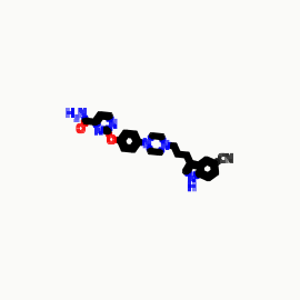 N#Cc1ccc2[nH]cc(CCCN3CCN(c4ccc(Oc5nccc(C(N)=O)n5)cc4)CC3)c2c1